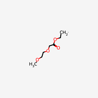 [CH2]COC(=O)COCCOC